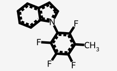 Cc1c(F)c(F)c(F)c(-n2ccc3ccccc32)c1F